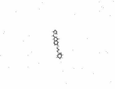 c1cc2c(cc1OCCCN1CC3CCCC1C3)CCC(CN1CCCC1)C2